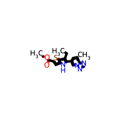 CCOC(=O)c1cc2[nH]c(-c3cc(C)c4ncnn4c3)c(CC)c2s1